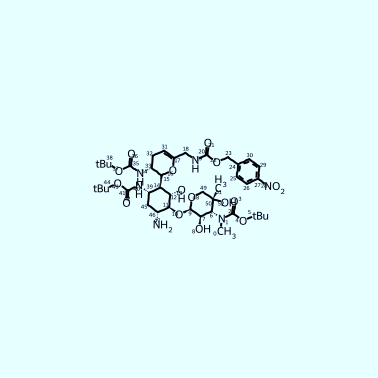 CN(C(=O)OC(C)(C)C)[C@@H]1[C@@H](O)[C@@H](O[C@@H]2[C@@H](O)[C@H](C3OC(CNC(=O)OCc4ccc([N+](=O)[O-])cc4)=CC[C@H]3NC(=O)OC(C)(C)C)[C@@H](NC(=O)OC(C)(C)C)C[C@H]2N)OC[C@]1(C)O